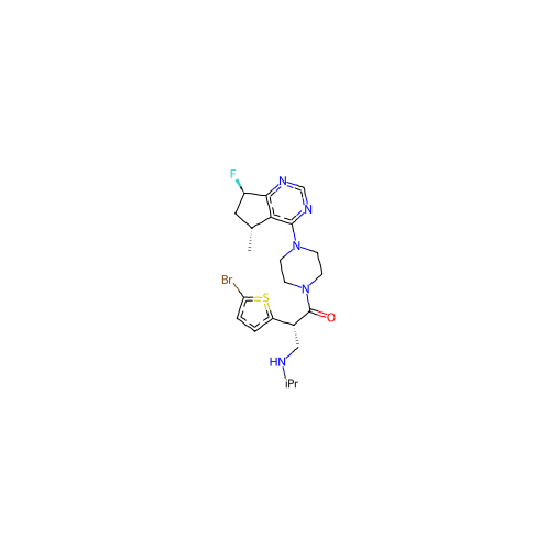 CC(C)NC[C@@H](C(=O)N1CCN(c2ncnc3c2[C@H](C)C[C@H]3F)CC1)c1ccc(Br)s1